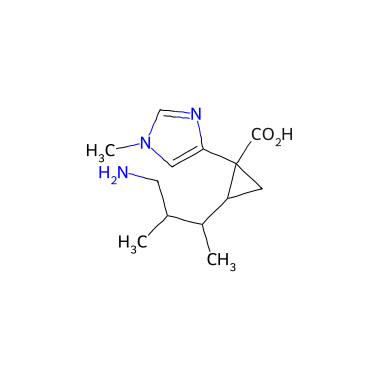 CC(CN)C(C)C1CC1(C(=O)O)c1cn(C)cn1